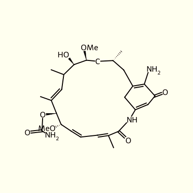 CO[C@H]1/C=C\C=C(/C)C(=O)NC2=CC(=O)C(N)=C(C2)C[C@@H](C)C[C@H](OC)[C@H](O)C(C)/C=C(\C)[C@@H]1OC(N)=O